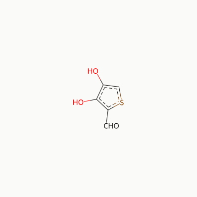 O=Cc1scc(O)c1O